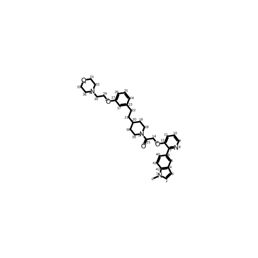 Cn1ccc2cc(-c3ncccc3OCC(=O)N3CCC(CCc4cccc(OCCN5CCOCC5)c4)CC3)ccc21